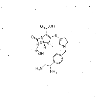 C[C@@H](O)[C@H]1C(=O)N2C(C(=O)O)=C(S[C@@H]3CCN(Cc4ccc(C(N)CN)cc4)C3)[C@H](C)[C@H]12